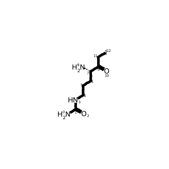 NC(=O)NCCC[C@H](N)C(=O)CI